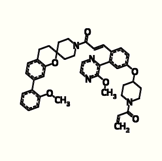 C=CC(=O)N1CCC(Oc2ccc(/C=C/C(=O)N3CCC4(CCc5ccc(-c6ccccc6OC)cc5O4)CC3)c(-c3nccnc3OC)c2)CC1